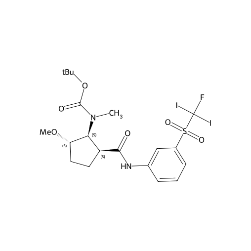 CO[C@H]1CC[C@H](C(=O)Nc2cccc(S(=O)(=O)C(F)(I)I)c2)[C@@H]1N(C)C(=O)OC(C)(C)C